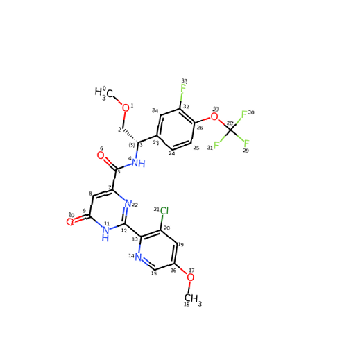 COC[C@@H](NC(=O)c1cc(=O)[nH]c(-c2ncc(OC)cc2Cl)n1)c1ccc(OC(F)(F)F)c(F)c1